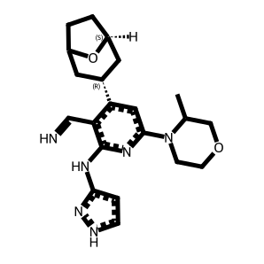 CC1COCCN1c1cc([C@@H]2CC3CC[C@@H](C2)O3)c(C=N)c(Nc2cc[nH]n2)n1